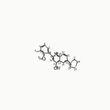 COc1c(C)cccc1-c1cc(O)c2cc(N3CCCC3)ccc2n1